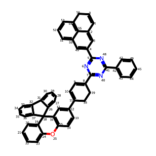 C1=Cc2cc(-c3nc(C4=CC=C(c5ccc6c(c5)C5(c7ccccc7O6)c6ccccc6-c6ccccc65)CC4)nc(-c4ccccc4)n3)cc3cccc(c23)C1